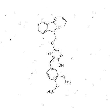 COc1ccc(C[C@@H](NC(=O)OCC2c3ccccc3-c3ccccc32)C(=O)O)cc1OC